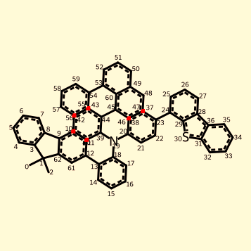 CC1(C)c2ccccc2-c2ccc(-c3ccccc3N(c3ccc(-c4cccc5c4sc4ccccc45)cc3)c3ccccc3-c3cccc4cccc(-c5ccccc5)c34)cc21